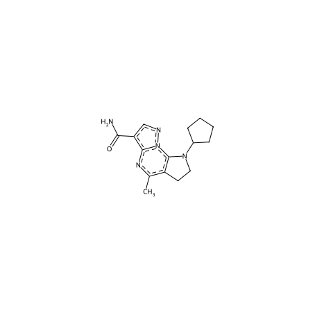 Cc1nc2c(C(N)=O)cnn2c2c1CCN2C1CCCC1